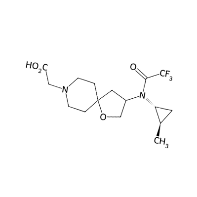 C[C@@H]1C[C@H]1N(C(=O)C(F)(F)F)C1COC2(CCN(CC(=O)O)CC2)C1